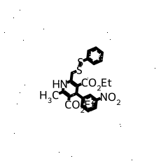 CCOC(=O)C1=C(C)NC(CSSc2ccccc2)=C(C(=O)OCC)C1c1cccc([N+](=O)[O-])c1